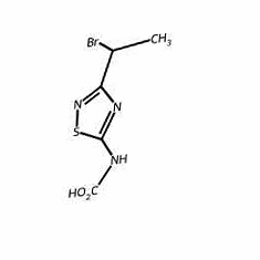 CC(Br)c1nsc(NC(=O)O)n1